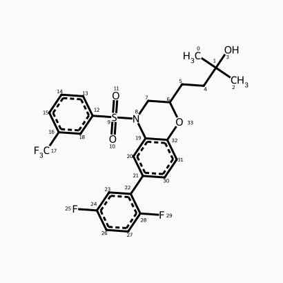 CC(C)(O)CCC1CN(S(=O)(=O)c2cccc(C(F)(F)F)c2)c2cc(-c3cc(F)ccc3F)ccc2O1